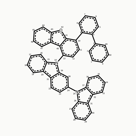 c1ccc(-c2ccccc2-c2ccc(-n3c4ccccc4c4ccc(-n5c6ccccc6c6ccccc65)cc43)c3c2oc2ccccc23)cc1